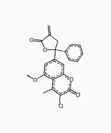 C=C1CC(c2ccccc2)(c2cc(OC)c3c(C)c(Cl)c(=O)oc3c2)OC1=O